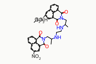 CC(CN1C(=O)c2cccc3cc([N+](=O)[O-])cc(c23)C1=O)NCCNC(C)CN1C(=O)c2cccc3cc([N+](=O)[O-])cc(c23)C1=O.CS(=O)(=O)O